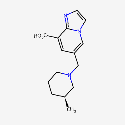 C[C@H]1CCCN(Cc2cc(C(=O)O)c3nccn3c2)C1